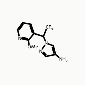 COc1ncccc1C(n1cc(N)cn1)C(F)(F)F